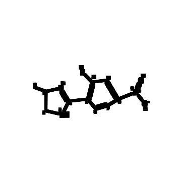 CC1CNC(c2ccc([N+](=O)[O-])cc2F)=N1